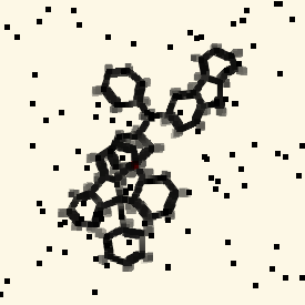 c1ccc(N(c2cccc(-c3ccccc3C3(c4ccccc4)c4ccccc4-c4ccccc43)c2)c2ccc3oc4ccccc4c3c2)cc1